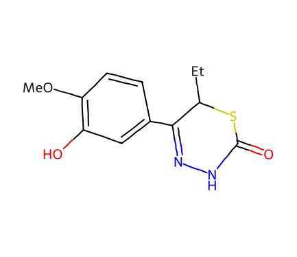 CCC1SC(=O)NN=C1c1ccc(OC)c(O)c1